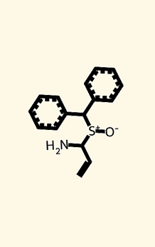 C=CC(N)[S+]([O-])C(c1ccccc1)c1ccccc1